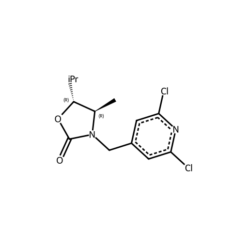 CC(C)[C@H]1OC(=O)N(Cc2cc(Cl)nc(Cl)c2)[C@@H]1C